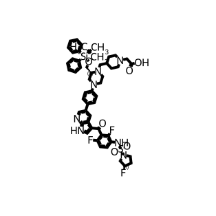 CC(C)(C)[Si](OC[C@@H]1CN(c2ccc(-c3cnc4[nH]cc(C(=O)c5c(F)ccc(NS(=O)(=O)N6CC[C@@H](F)C6)c5F)c4c3)cc2)CCN1CC1CCN(CC(=O)O)CC1)(c1ccccc1)c1ccccc1